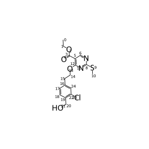 CCOC(=O)c1cnc(SC)nc1OCCc1ccc(CO)c(Cl)c1